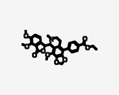 CCOC(=O)c1ccc(-c2c3c(c(OC)c4c2OCO4)[C@H]([C@H]2OC(=O)c4c2ccc(OC)c4OC)N(C)CC3)cc1